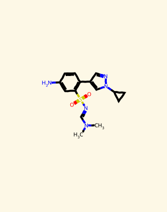 CN(C)C=NS(=O)(=O)c1cc(N)ccc1-c1cnn(C2CC2)c1